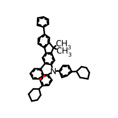 CC1(C)c2cc(-c3ccccc3)ccc2-c2cc(-c3ccccc3)c(N(c3ccc(C4CCCCC4)cc3)c3ccc(C4CCCCC4)cc3)cc21